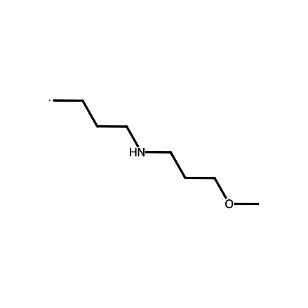 [CH2]CCCNCCCOC